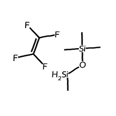 C[SiH2]O[Si](C)(C)C.FC(F)=C(F)F